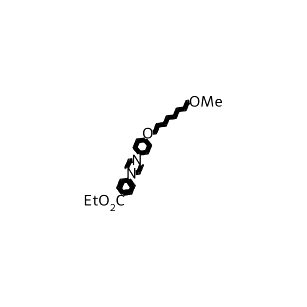 CCOC(=O)c1ccc(N2CCN(C3CCC(OCCCCCCCCOC)CC3)CC2)cc1